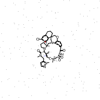 C[C@@H]1[C@@H](C)C/C=C(\F)[C@H](C(=O)N(C)Cc2ccnn2C)N2CCC[C@H]2CN2C[C@@]3(CCCc4cc(Cl)ccc43)COc3ccc(cc32)C(=O)NS1(=O)=O